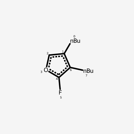 CCCCc1coc(F)c1CCCC